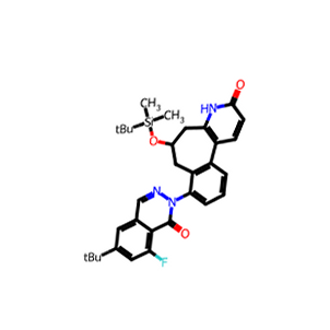 CC(C)(C)c1cc(F)c2c(=O)n(-c3cccc4c3CC(O[Si](C)(C)C(C)(C)C)Cc3[nH]c(=O)ccc3-4)ncc2c1